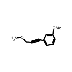 COc1cccc(C#CCON)c1